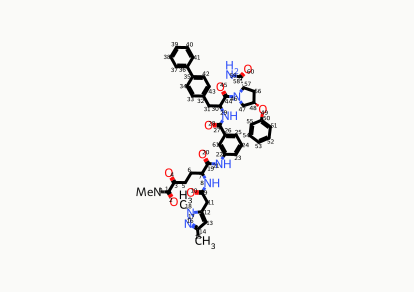 CNC(=O)C(=O)CCC(NC(=O)Cc1cc(C)nn1C)C(=O)Nc1cccc(C(=O)NC(Cc2ccc(-c3ccccc3)cc2)C(=O)N2C[C@H](Oc3ccccc3)C[C@H]2C(N)=O)c1